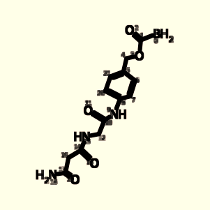 BC(=O)OCc1ccc(NC(=O)CNC(=O)CC(N)=O)cc1